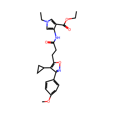 CCOC(=O)c1cn(CC)cc1NC(=O)CCc1onc(-c2ccc(OC)cc2)c1C1CC1